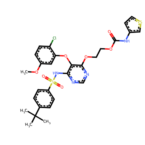 COc1ccc(Cl)c(Oc2c(NS(=O)(=O)c3ccc(C(C)(C)C)cc3)ncnc2OCCOC(=O)Nc2ccsc2)c1